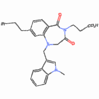 CC(C)CCc1ccc2c(c1)N(Cc1cn(C)c3ccccc13)CC(=O)N(CCC(=O)O)C2=O